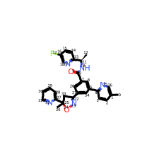 Cc1ccc(-c2cc(C(=O)N[C@H](C)c3ccc(F)cn3)cc(C3=NOC(C)(c4ccccn4)C3)c2)nc1